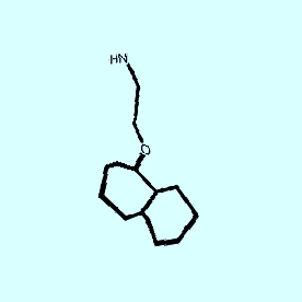 [NH]CCOC1CCCC2CCCCC21